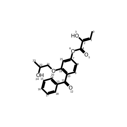 CC=C(O)C(=O)Oc1ccc(C(=O)c2ccccc2)c(OCC(C)O)c1